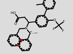 Cc1ccccc1-c1cc(C(CC(=O)O)N(Cc2ccccc2)[C@H](C)c2ccccc2)ccc1OC(F)(F)F